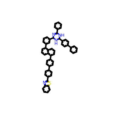 c1ccc(C2=NC(c3cccc(-c4cccc5c(-c6ccc(-c7ccc(-c8nc9ccccc9s8)cc7)cc6)cccc45)c3)NC(c3ccc(-c4ccccc4)cc3)N2)cc1